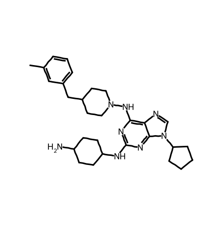 Cc1cccc(CC2CCN(Nc3nc(NC4CCC(N)CC4)nc4c3ncn4C3CCCC3)CC2)c1